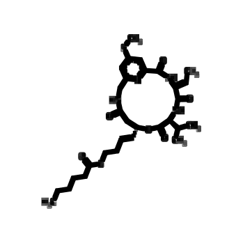 C/C=C1\NC(=O)c2cc(SC)cc(n2)CNC(=O)C[C@@H](/C=C/CCSC(=O)CCCCC)OC(=O)[C@H](C(C)C)NC1=O